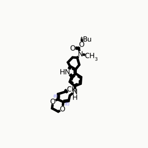 C#C/C=C1/OCCO/C1=C/CNc1ccc2c3c([nH]c2c1)CCC(N(C)C(=O)OC(C)(C)C)C3